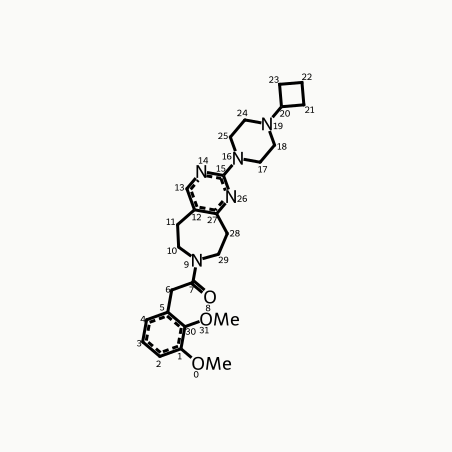 COc1cccc(CC(=O)N2CCc3cnc(N4CCN(C5CCC5)CC4)nc3CC2)c1OC